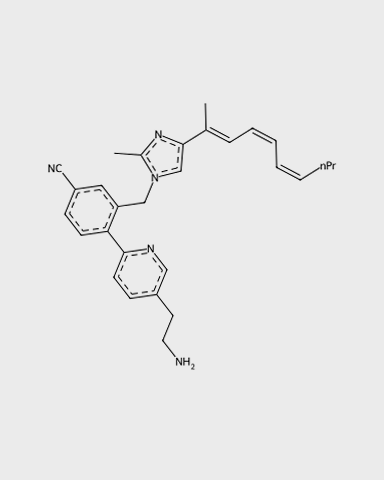 CCC\C=C/C=C\C=C(/C)c1cn(Cc2cc(C#N)ccc2-c2ccc(CCN)cn2)c(C)n1